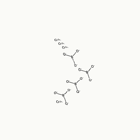 [Cr+3].[Cr+3].[Cr+3].[Cr+3].[O-]B([O-])[O-].[O-]B([O-])[O-].[O-]B([O-])[O-].[O-]B([O-])[O-]